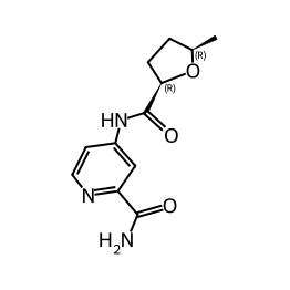 C[C@@H]1CC[C@H](C(=O)Nc2ccnc(C(N)=O)c2)O1